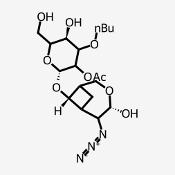 CCCCOC1C(OC(C)=O)[C@H](O[C@@H]2C3CO[C@H](O)C(N=[N+]=[N-])C2C3)OC(CO)[C@H]1O